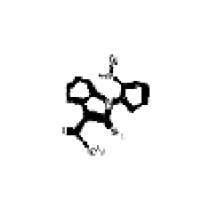 NC(=O)c1c(N)n(-c2ccccc2NO)c2ccccc12